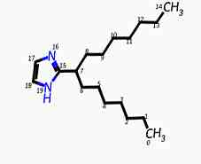 CCCCCCCC(CCCCCCC)c1ncc[nH]1